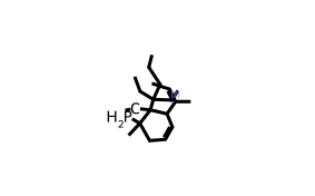 C/C=C(/C)C1C=CCC(C)(P)C1(CC)C(CC)(CC)CCC